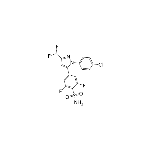 NS(=O)(=O)c1c(F)cc(-c2cc(C(F)F)nn2-c2ccc(Cl)cc2)cc1F